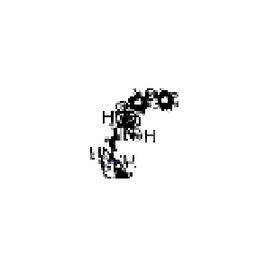 N#C/N=C(/NCCCC[C@@H](NS(=O)(=O)c1ccc(Oc2ccccc2)cc1)C(=O)NO)NC1CC1